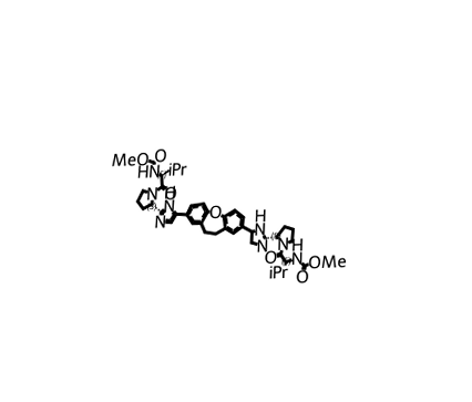 COC(=O)N[C@H](C(=O)N1CCC[C@H]1C1=NCC(c2ccc3c(c2)CCc2cc(-c4cnc([C@@H]5CCCN5C(=O)[C@@H](NC(=O)OC)C(C)C)[nH]4)ccc2O3)N1)C(C)C